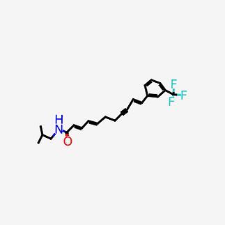 CC(C)CNC(=O)/C=C/C=C/CCC#C/C=C/c1cccc(C(F)(F)F)c1